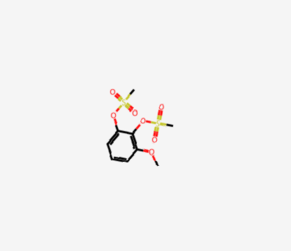 COc1cccc(OS(C)(=O)=O)c1OS(C)(=O)=O